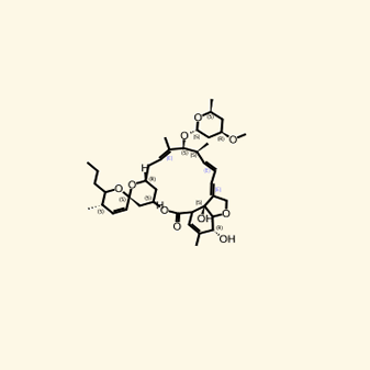 CCCC1O[C@]2(C=C[C@@H]1C)C[C@@H]1C[C@@H](C/C=C(\C)[C@@H](O[C@H]3C[C@H](OC)C[C@H](C)O3)[C@@H](C)/C=C/C=C3\COC4[C@H](O)C(C)=CC(C(=O)O1)[C@]34O)O2